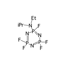 CCN(C(C)C)P1(F)=NP(F)(F)=NP(F)(F)=N1